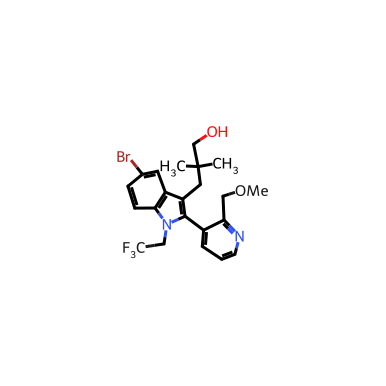 COCc1ncccc1-c1c(CC(C)(C)CO)c2cc(Br)ccc2n1CC(F)(F)F